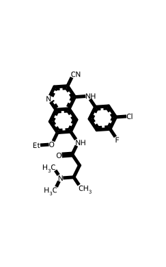 CCOc1cc2ncc(C#N)c(Nc3ccc(F)c(Cl)c3)c2cc1NC(=O)CC(C)N(C)C